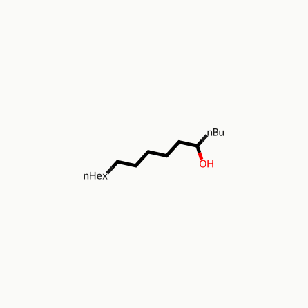 CCCCCCCCCCCC(O)CCCC